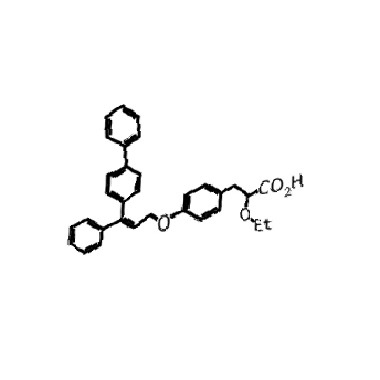 CCOC(Cc1ccc(OCC=C(c2ccccc2)c2ccc(-c3ccccc3)cc2)cc1)C(=O)O